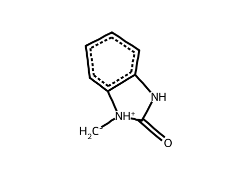 [CH2-][NH+]1C(=O)Nc2ccccc21